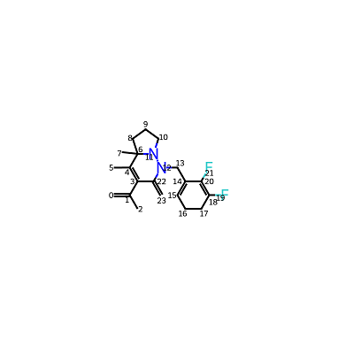 C=C(C)C1=C(C)C2(C)CCCN2N(CC2=CCCC(F)=C2F)C1=C